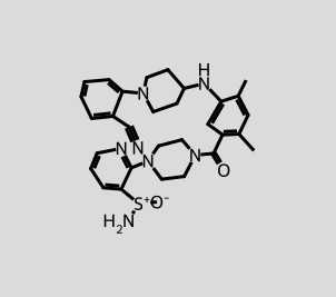 Cc1cc(C)c(C(=O)N2CCN(c3ncccc3[S+](N)[O-])CC2)cc1NC1CCN(c2ccccc2C#N)CC1